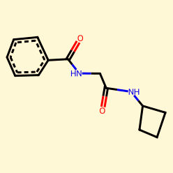 O=C(CNC(=O)c1ccccc1)NC1CCC1